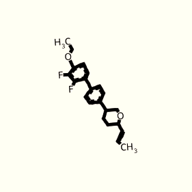 C/C=C/C1CCC(c2ccc(-c3ccc(OCC)c(F)c3F)cc2)CO1